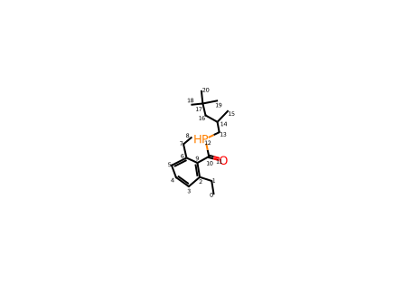 CCc1cccc(CC)c1C(=O)PCC(C)CC(C)(C)C